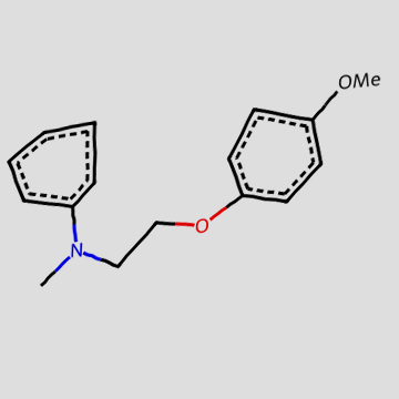 COc1ccc(OCCN(C)c2ccccc2)cc1